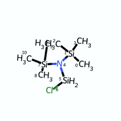 C[Si](C)(C)N([SiH2]Cl)[Si](C)(C)C